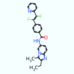 CCc1nc2ccc(NC(=O)c3ccc(/C(F)=C(\F)c4ccccn4)cc3)cn2c1C